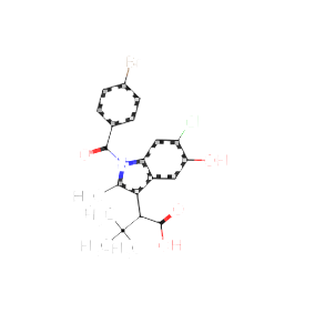 Cc1c(C(C(=O)O)C(C)(C)C)c2cc(O)c(Cl)cc2n1C(=O)c1ccc(Br)cc1